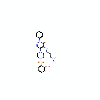 CN(C)CCCNc1c(N2CCN(S(=O)(=O)c3ccccc3OC(F)(F)F)CC2)cnn(-c2ccccc2)c1=O